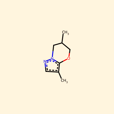 Cc1cnn2c1OCC(C)C2